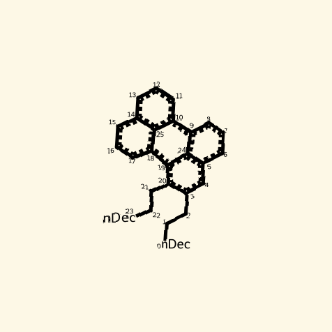 CCCCCCCCCCCCc1cc2cccc3c4cccc5cccc(c(c1CCCCCCCCCCCC)c23)c54